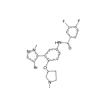 CN1CCC(Oc2ccc(NC(=O)c3ccc(F)c(F)c3)cc2-c2c(Br)cnn2C)C1